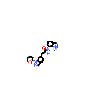 Cn1ncc2cccc(NC(=O)/C=C/c3ccc4cnn(C5CCCCO5)c4c3)c21